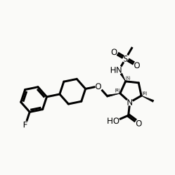 C[C@@H]1C[C@H](NS(C)(=O)=O)[C@H](COC2CCC(c3cccc(F)c3)CC2)N1C(=O)O